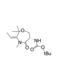 C/C=C1/N(C)C(=O)[C@@H](NC(=O)OC(C)(C)C)COC1(C)C